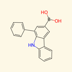 OB(O)c1cc(-c2ccccc2)c2[nH]c3ccccc3c2c1